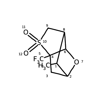 CC1C2CC3(C(F)(F)F)C(O2)C1CS3(=O)=O